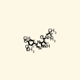 COc1ccc(-c2cnc3[nH]cc(C(=O)NCC(C)C)c3n2)cc1OC